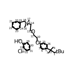 CC(C)(C)CC(C)(C)c1ccc(OCCOCC[N+](C)(C)Cc2ccccc2)cc1.Oc1ccccc1.[Cl-]